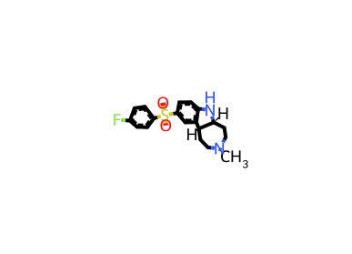 CN1CC[C@@H]2Nc3ccc(S(=O)(=O)c4ccc(F)cc4)cc3[C@@H]2CC1